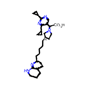 O=C(O)C(c1cnc(C2CC2)nc1C1CC1)N1CC[C@@H](CCCCCc2ccc3c(n2)NCCC3)C1